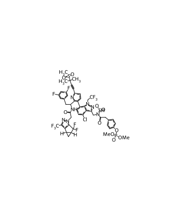 COP(=O)(OC)Oc1ccc(CC(=O)N(Cc2nn(CC(F)(F)F)c3c(-c4ccc(C#CC(C)(C)S(C)(=O)=O)nc4C(Cc4cc(F)cc(F)c4)NC(=O)Cn4nc(C(F)(F)F)c5c4C(F)(F)[C@@H]4C[C@H]54)ccc(Cl)c23)[SH](=O)=O)cc1